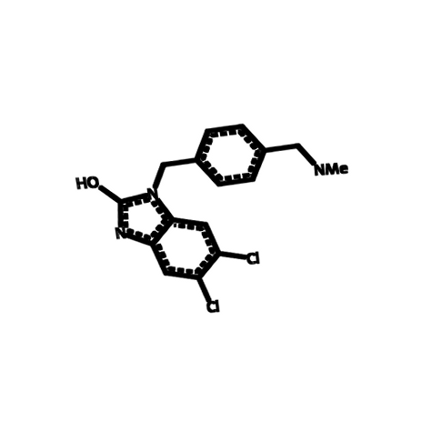 CNCc1ccc(Cn2c(O)nc3cc(Cl)c(Cl)cc32)cc1